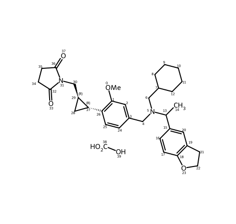 COc1cc(CN(CC2CCCCC2)C(C)c2ccc3c(c2)CCO3)ccc1[C@@H]1C[C@H]1CN1C(=O)CCC1=O.O=C(O)O